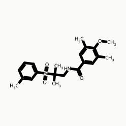 COc1c(C)cc(C(=O)NCC(C)(C)S(=O)(=O)c2cccc(C)c2)cc1C